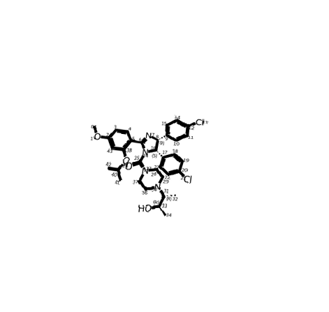 COc1ccc(C2=N[C@H](c3ccc(Cl)cc3)[C@H](c3ccc(Cl)cc3)N2C(=O)N2CCN([C@H](C)[C@@H](C)O)CC2)c(OC(C)C)c1